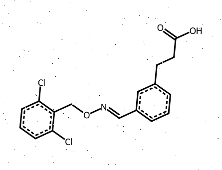 O=C(O)CCc1cccc(C=NOCc2c(Cl)cccc2Cl)c1